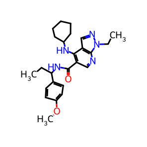 CCC(NC(=O)c1cnc2c(cnn2CC)c1NC1CCCCC1)c1ccc(OC)cc1